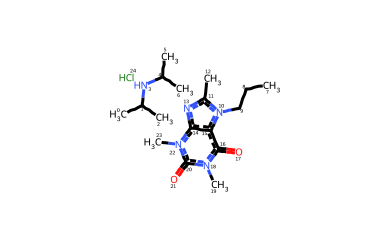 CC(C)NC(C)C.CCCn1c(C)nc2c1c(=O)n(C)c(=O)n2C.Cl